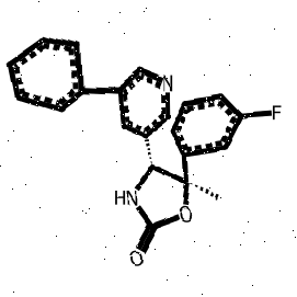 C[C@]1(c2cccc(F)c2)OC(=O)N[C@@H]1c1cncc(-c2ccccc2)c1